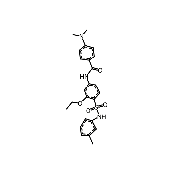 CCOc1cc(NC(=O)c2ccc(N(C)C)cc2)ccc1S(=O)(=O)Nc1cccc(C)c1